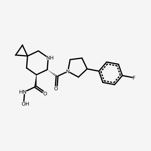 O=C(NO)[C@H]1CC2(CC2)CN[C@@H]1C(=O)N1CCC(c2ccc(F)cc2)C1